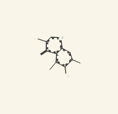 CC(C)(C)c1c[nH]c2cc(O)c(O)c(Cl)c2c1=O